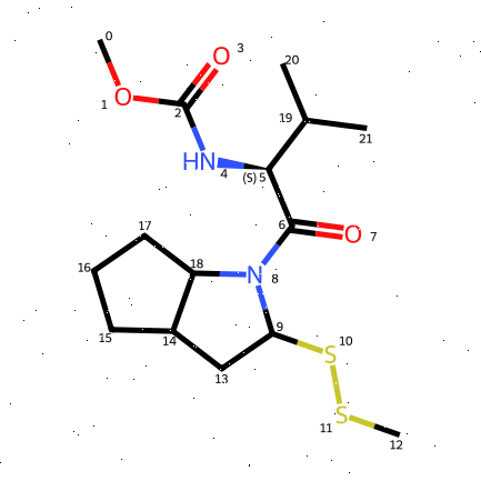 COC(=O)N[C@H](C(=O)N1C(SSC)CC2CCCC21)C(C)C